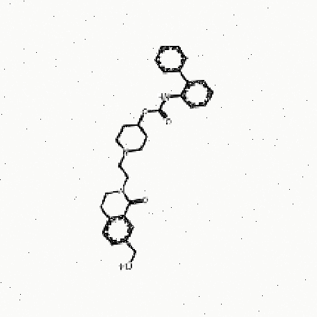 O=C(Nc1ccccc1-c1ccccc1)OC1CCN(CCN2CCc3ccc(CO)cc3C2=O)CC1